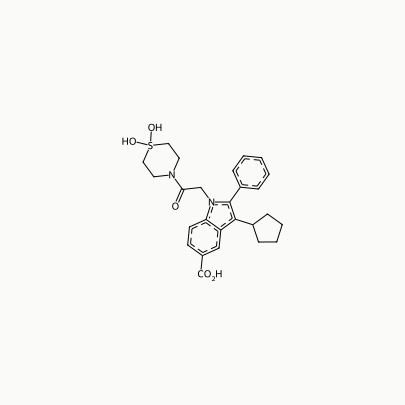 O=C(O)c1ccc2c(c1)c(C1CCCC1)c(-c1ccccc1)n2CC(=O)N1CCS(O)(O)CC1